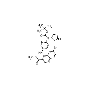 CCC(=O)c1cnc2ccc(Br)cc2c1Nc1ccc(N(C(=O)OC(C)(C)C)C2CCNC2)nc1